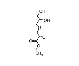 CCOC(=O)C(=O)COCC(O)CO